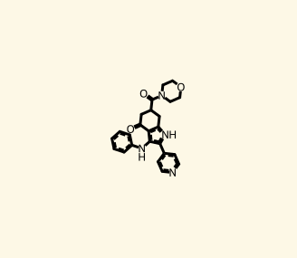 O=C1CC(C(=O)N2CCOCC2)Cc2[nH]c(-c3ccncc3)c(Nc3ccccc3)c21